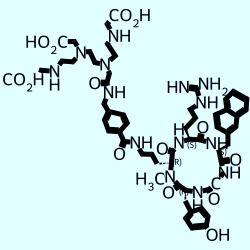 CN1C(=O)[C@@H](Cc2ccc(O)cc2)NC(=O)CNC(=O)[C@H](Cc2ccc3ccccc3c2)NC(=O)[C@H](CCCNC(=N)N)NC(=O)[C@H]1CCCNC(=O)c1ccc(CNC(=O)CN(CCNCC(=O)O)CCN(CCNCC(=O)O)CC(=O)O)cc1